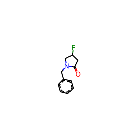 O=C1CC(F)CN1Cc1ccccc1